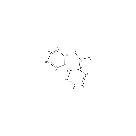 CC(C)=C1C=CC=CC1c1ccccc1